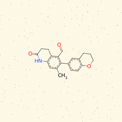 Cc1cc2c(c(C=O)c1-c1ccc3c(c1)CCCO3)CCC(=O)N2